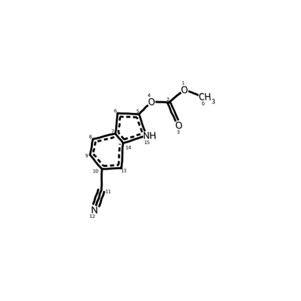 COC(=O)Oc1cc2ccc(C#N)cc2[nH]1